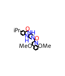 COc1cc(C(=O)N2C[CH]C3(CC2)NC(=O)c2cc(C(C)C)ccc2N3)nc2c(OC)cccc12